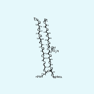 CCCCCCOCC(O)OCCOCCOCCOCCOCCOCCOCCOCC.CCCCCCOCCOCCOCCOCCOCCOCCOCCOCCOCC.O=S(=O)(O)O